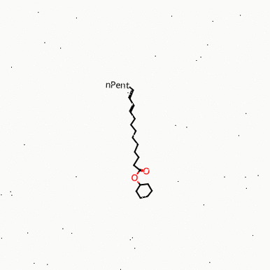 CCCCC/C=C/C=C/CCCCCCCCC(=O)OC1CCCCC1